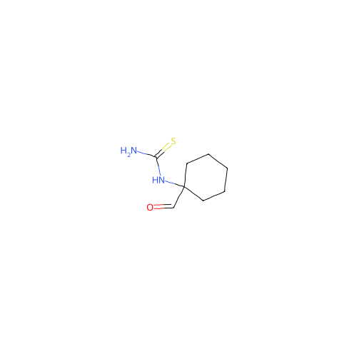 NC(=S)NC1(C=O)CCCCC1